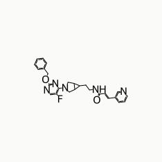 O=C(/C=C/c1cccnc1)NCCC1C2CN(c3nc(OCc4ccccc4)ncc3F)CC12